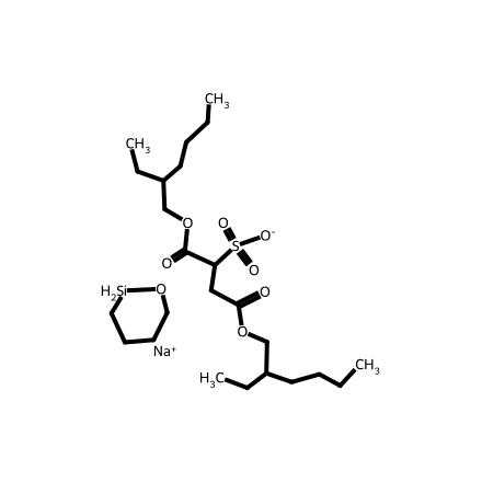 C1CC[SiH2]OC1.CCCCC(CC)COC(=O)CC(C(=O)OCC(CC)CCCC)S(=O)(=O)[O-].[Na+]